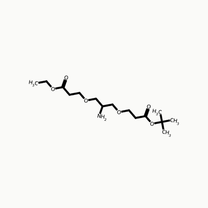 CCOC(=O)CCOCC(N)COCCC(=O)OC(C)(C)C